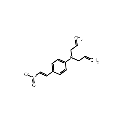 C=CCN(CC=C)c1ccc(C=C[N+](=O)[O-])cc1